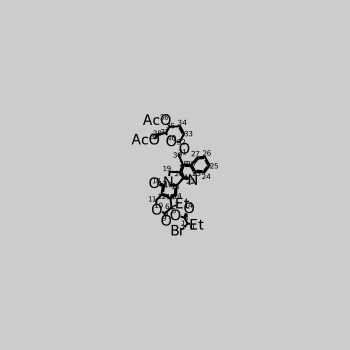 CCC(Br)C(=O)O[C@]1(CC)C(=O)OCc2c1cc1n(c2=O)Cc2c-1nc1ccccc1c2COC1C=C[C@H](OC(C)=O)C(COC(C)=O)O1